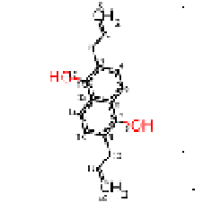 C=CCc1ccc2c(O)c(CC=C)ccc2c1O